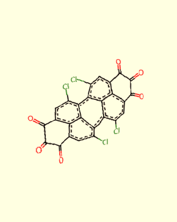 O=C1C(=O)c2cc(Cl)c3c4c(Cl)cc5c6c(cc(Cl)c(c7c(Cl)cc(c2c37)C1=O)c64)C(=O)C(=O)C5=O